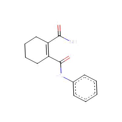 NC(=O)C1=C(C(=O)Nc2ccccc2)CCCC1